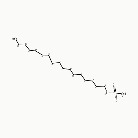 O=S(=O)(O)OCCCCCCCCCCCCCCCCO